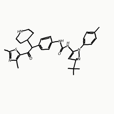 Cc1ccc(-n2nc(C(C)(C)C)cc2NC(=O)Nc2ccc(C(C(=O)c3sc(C)nc3C)C3CCNCC3)cc2)cc1